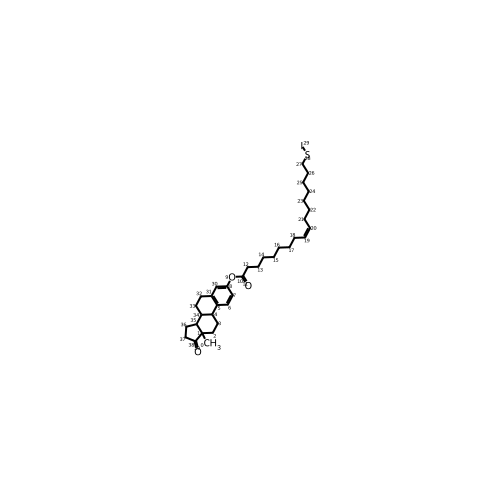 CC12CCC3c4ccc(OC(=O)CCCCCCC/C=C\CCCCCCCSI)cc4CCC3C1CCC2=O